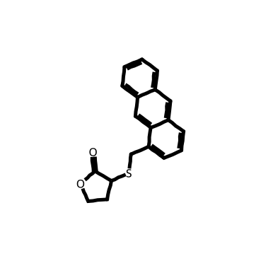 O=C1OCCC1SCc1cccc2cc3ccccc3cc12